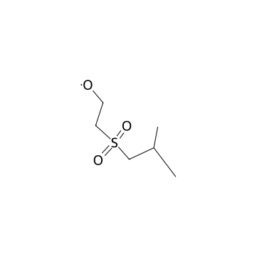 CC(C)CS(=O)(=O)CC[O]